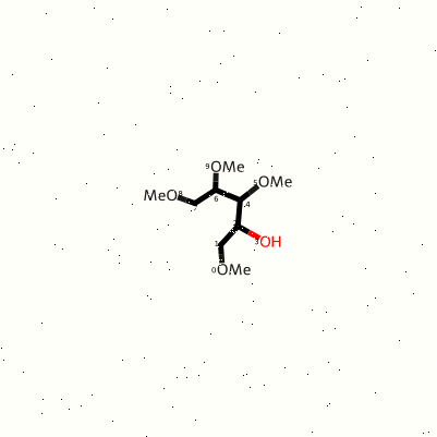 COCC(O)C(OC)C(COC)OC